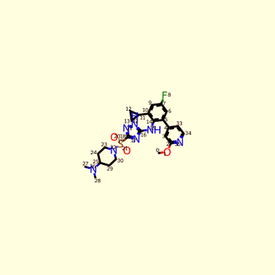 COc1cc(-c2cc(F)cc(C3CC3)c2Nc2nc(S(=O)(=O)N3CCC(N(C)C)CC3)n[nH]2)ccn1